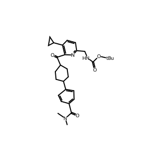 CN(C)C(=O)c1ccc(C2CCC(C(=O)c3nc(CNC(=O)OC(C)(C)C)ccc3C3CC3)CC2)cc1